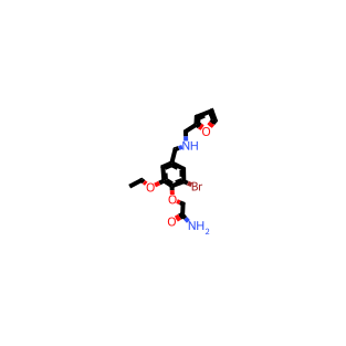 CCOc1cc(CNCc2ccco2)cc(Br)c1OCC(N)=O